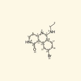 CCNc1nc2cc[nH]c(=O)c2c2cc(Br)ccc12